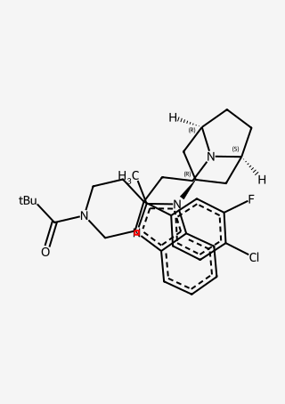 Cc1nc2ccccc2n1[C@H]1C[C@H]2CC[C@@H](C1)N2CCC1(c2ccc(Cl)c(F)c2)CCN(C(=O)C(C)(C)C)CC1